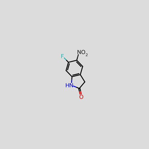 O=C1Cc2cc([N+](=O)[O-])c(F)cc2N1